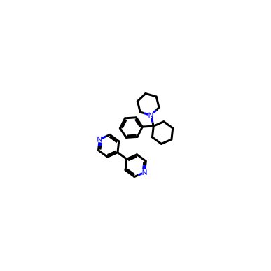 c1cc(-c2ccncc2)ccn1.c1ccc(C2(N3CCCCC3)CCCCC2)cc1